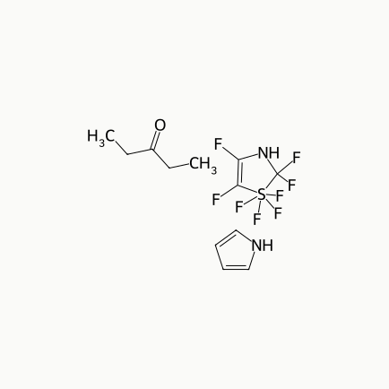 CCC(=O)CC.FC1=C(F)S(F)(F)(F)(F)C(F)(F)N1.c1cc[nH]c1